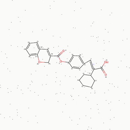 O=C(Oc1ccc(/C=C(/C(=O)O)C2CCCCC2)cc1)C1=Cc2ccccc2OC1